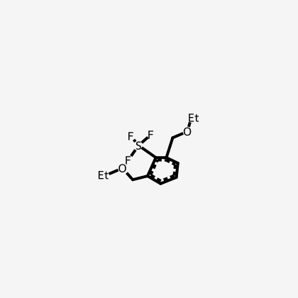 CCOCc1cccc(COCC)c1S(F)(F)F